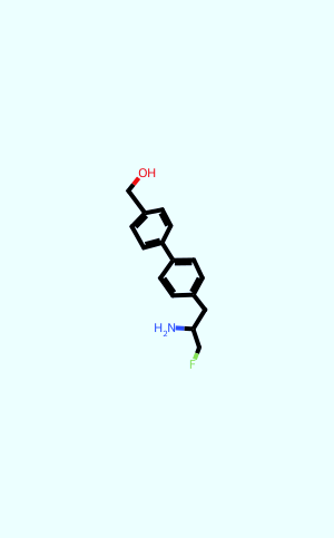 NC(CF)Cc1ccc(-c2ccc(CO)cc2)cc1